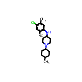 Cc1cc(NC2CCN(C3CCC(C)CC3)CC2)c([N+](=O)[O-])cc1Cl